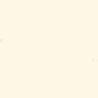 CC/C=C\CC(=O)CC/C=C\CCCCCCCC(=O)O